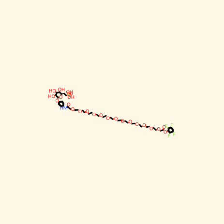 O=C(COCCOCCOCCOCCOCCOCCOCCOCCOCCOCCOCCOCCOCC(=O)Oc1c(F)c(F)cc(F)c1F)Nc1ccc(O[C@H]2O[C@H](CCP(=O)(O)O)[C@@H](O)[C@H](O)[C@@H]2O)cc1